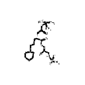 CC(C)(C)OC(=O)C[C@@H](CCCC1CCCCC1)C(=O)O/N=C(\N)CNS(C)(=O)=O